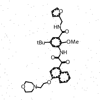 COc1c(NC(=O)C(=O)c2ccc(OCCN3CCOCC3)c3ccccc23)cc(C(C)(C)C)cc1C(=O)NCc1ccco1